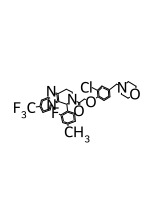 Cc1ccc(C2c3c(nc4cc(C(F)(F)F)ccn34)CCN2C(=O)COc2ccc(CN3CCOCC3)cc2Cl)c(F)c1